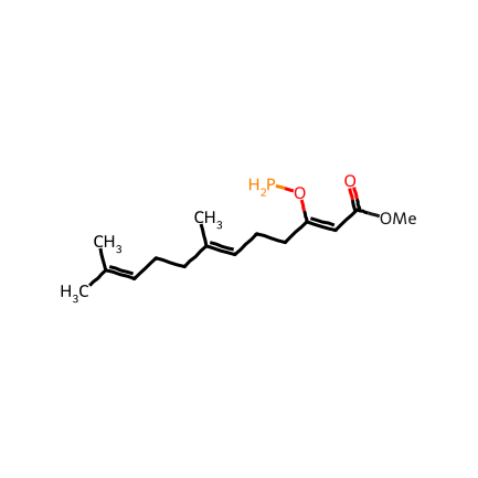 COC(=O)/C=C(/CC/C=C(\C)CCC=C(C)C)OP